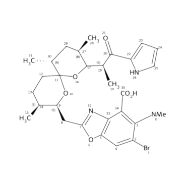 CNc1c(Br)cc2oc(C[C@@H]3OC4(CC[C@@H]3C)OC([C@H](C)C(=O)c3ccc[nH]3)[C@H](C)C[C@H]4C)nc2c1C(=O)O